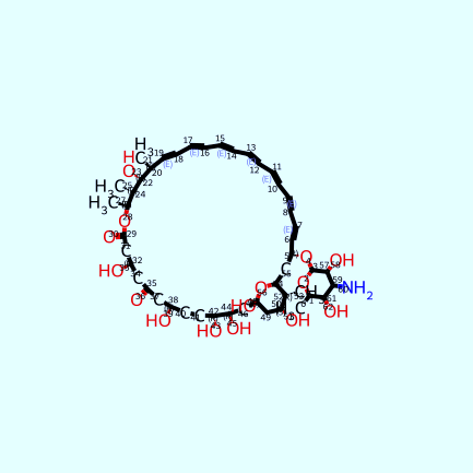 CC1OC(O[C@H]2/C=C/C=C/C=C/C=C/C=C/C=C/C=C/[C@H](C)[C@@H](O)[C@@H](C)[C@H](C)OC(=O)C[C@H](O)CC(=O)C[C@H](O)CC[C@@H](O)[C@H](O)C[C@]3(O)C[C@H](O)[C@@H](C)C(C2)O3)C(O)C(N)C1O